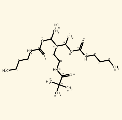 CCCCNC(=O)OC(C)N(CCNC(=O)C(C)(C)C)C(C)OC(=O)NCCCC.Cl